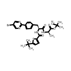 C[C@@H](NC(=O)[C@H](Cc1ccc(-c2ncc(Br)cn2)cc1)NC(=O)c1ccc(C(C)(C)C)s1)C(=O)OC(C)(C)C